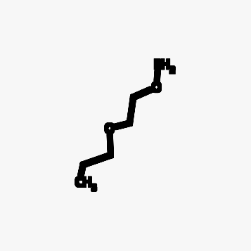 BOCCOCCC